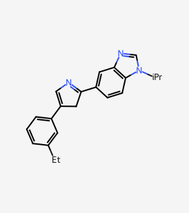 CCc1cccc(C2=CN=C(c3ccc4c(c3)ncn4C(C)C)C2)c1